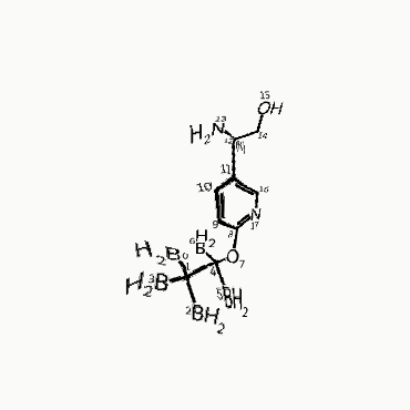 BC(B)(B)C(B)(B)Oc1ccc([C@@H](N)CO)cn1